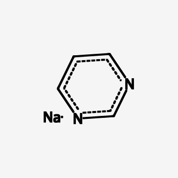 [Na].c1cncnc1